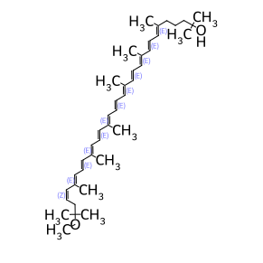 COC(C)(C)C\C=C/C(C)=C/C=C/C(C)=C/C=C/C(C)=C/C=C/C=C(C)/C=C/C=C(C)/C=C/C=C(\C)CCCC(C)(C)O